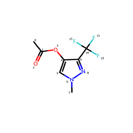 CC(=O)Oc1cn(C)nc1C(F)(F)F